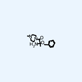 CN1CCN(C(=O)C(C)(N)OCc2ccccc2)CC1